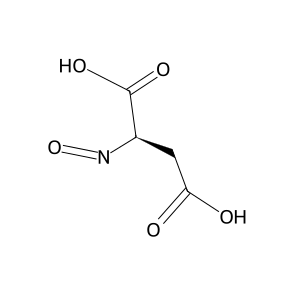 O=N[C@H](CC(=O)O)C(=O)O